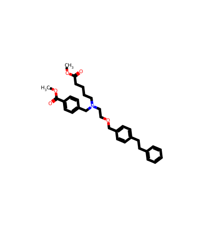 COC(=O)CCCCN(CCOCc1ccc(CCc2ccccc2)cc1)Cc1ccc(C(=O)OC)cc1